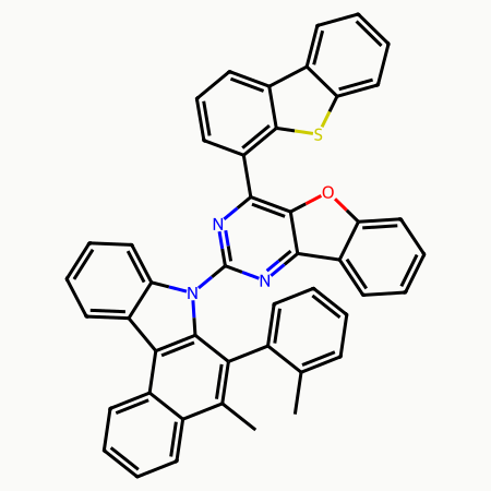 Cc1ccccc1-c1c(C)c2ccccc2c2c3ccccc3n(-c3nc(-c4cccc5c4sc4ccccc45)c4oc5ccccc5c4n3)c12